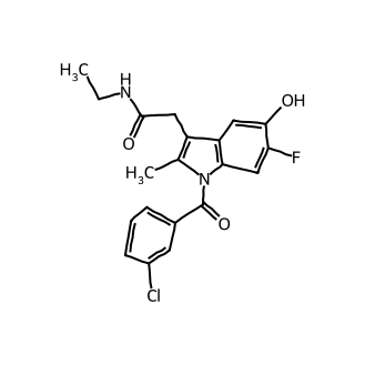 CCNC(=O)Cc1c(C)n(C(=O)c2cccc(Cl)c2)c2cc(F)c(O)cc12